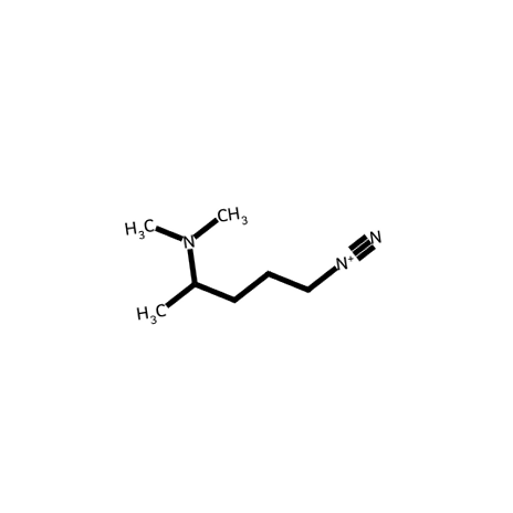 CC(CCC[N+]#N)N(C)C